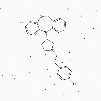 Clc1ccc(CCN2CCC(N3c4ccccc4COc4ccccc43)C2)cc1